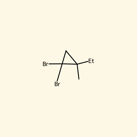 CCC1(C)CC1(Br)Br